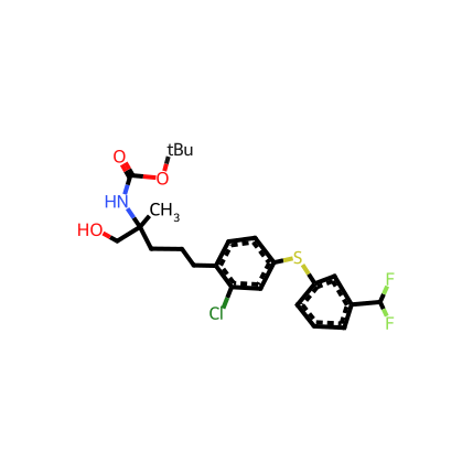 CC(CO)(CCCc1ccc(Sc2cccc(C(F)F)c2)cc1Cl)NC(=O)OC(C)(C)C